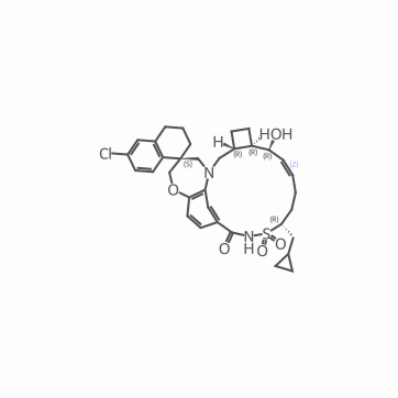 O=C1NS(=O)(=O)[C@@H](CC2CC2)CC/C=C\[C@H](O)[C@@H]2CC[C@H]2CN2C[C@@]3(CCCc4cc(Cl)ccc43)COc3ccc1cc32